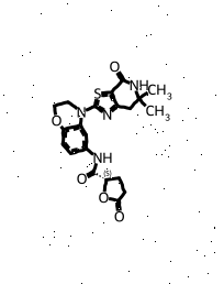 CC1(C)Cc2nc(N3CCOc4ccc(NC(=O)[C@@H]5CCC(=O)O5)cc43)sc2C(=O)N1